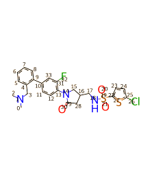 CN(C)Cc1ccccc1-c1ccc(N2CC(CNS(=O)(=O)c3ccc(Cl)s3)CC2=O)c(F)c1